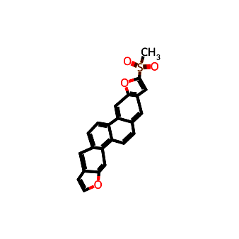 CS(=O)(=O)c1cc2cc3ccc4c5cc6occc6cc5ccc4c3cc2o1